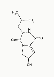 CC(C)CC1NC(=O)C2=CC(O)CN2C1=O